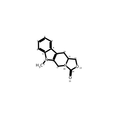 Cn1c2c(c3ccccc31)CC1COC(=O)N1C2